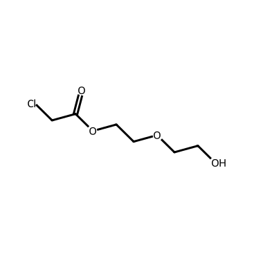 O=C(CCl)OCCOCCO